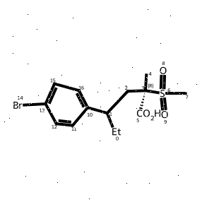 CCC(C[C@](C)(C(=O)O)S(C)(=O)=O)c1ccc(Br)cc1